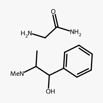 CNC(C)C(O)c1ccccc1.NCC(N)=O